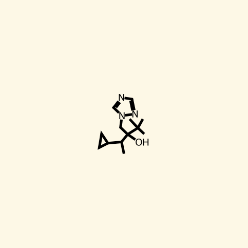 CC(C1CC1)C(O)(Cn1cncn1)C(C)(C)C